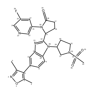 Cc1noc(C)c1-c1ccc2c(c1)nc(C1CCC(=O)N1c1cncc(F)c1)n2C1CCN(S(C)(=O)=O)C1